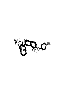 CC[C@H]1CC[C@@H](Oc2ccc3ccc(C(C)N4C5CCCC4CC(C(=O)OC)C5)cc3c2C(F)(F)F)CC1